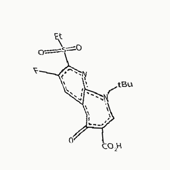 CCS(=O)(=O)c1nc2c(cc1F)c(=O)c(C(=O)O)cn2C(C)(C)C